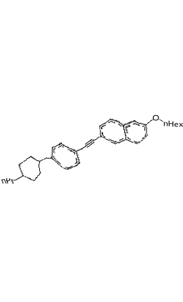 CCCCCCOc1ccc2cc(C#Cc3ccc(C4CCC(CCC)CC4)cc3)ccc2c1